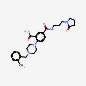 Cc1ccccc1CN1CCN(c2ccc(C(=O)NCCCN3CCCC3=O)cc2C(N)=O)CC1